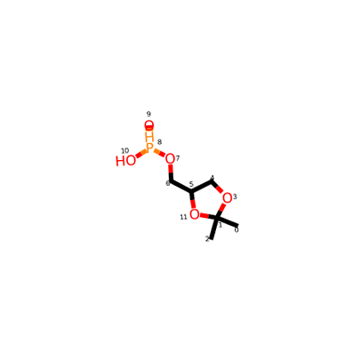 CC1(C)OCC(CO[PH](=O)O)O1